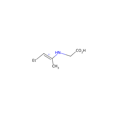 CC/C=C(\C)NCC(=O)O